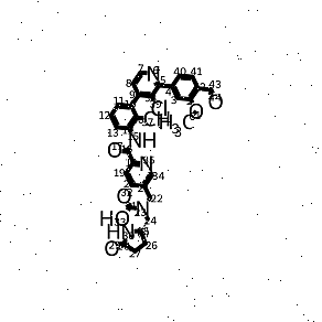 COc1cc(-c2nccc(-c3cccc(NC(=O)c4ccc(CN(C[C@@H]5CCC(=O)N5)C(=O)O)cn4)c3C)c2Cl)ccc1C=O